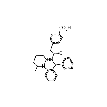 CC1CCCCN1c1ccccc1C(NC(=O)Cc1ccc(C(=O)O)cc1)c1ccccc1